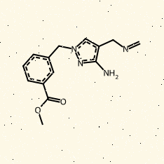 C=NCc1cn(Cc2cccc(C(=O)OC)c2)nc1N